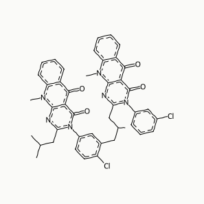 CC(C)Cc1nc2c(c(=O)c3ccccc3n2C)c(=O)n1-c1ccc(Cl)c(CC(C)Cc2nc3c(c(=O)c4ccccc4n3C)c(=O)n2-c2cccc(Cl)c2)c1